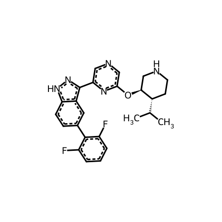 CC(C)[C@H]1CCNC[C@@H]1Oc1cncc(-c2n[nH]c3ccc(-c4c(F)cccc4F)cc23)n1